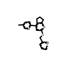 Cc1ccc(-c2cc(OCc3ccccn3)nc3c2CCC3)nc1